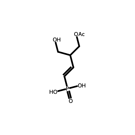 CC(=O)OCC(/C=C/P(=O)(O)O)CO